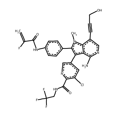 C=C(F)C(=O)Nc1ccc(-c2c(-c3cnc(C(=O)NCC(F)(F)F)c(Cl)c3)c3c(N)ncc(C#CCO)c3n2C)cc1